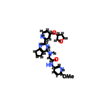 COc1ccc(NC(=O)CN(C)c2nc(-c3cc(OC4CCOC4)ccn3)nc3c2CCC3)cn1